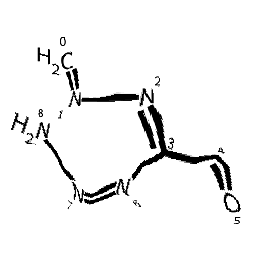 C=N/N=C(C=O)\N=N/N